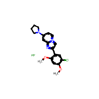 Br.COc1cc(OC)c(-c2cn3ccc(N4CCCC4)cc3n2)cc1Cl